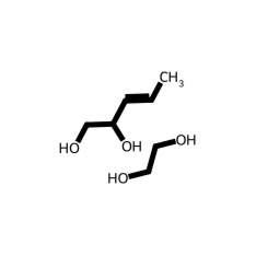 CC=CC(O)CO.OCCO